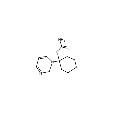 NC(=O)OC1(N2C=CC=NC2)CCCCC1